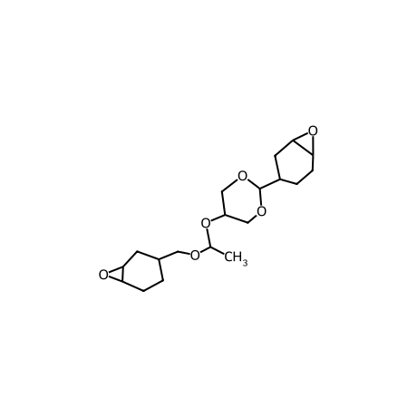 CC(OCC1CCC2OC2C1)OC1COC(C2CCC3OC3C2)OC1